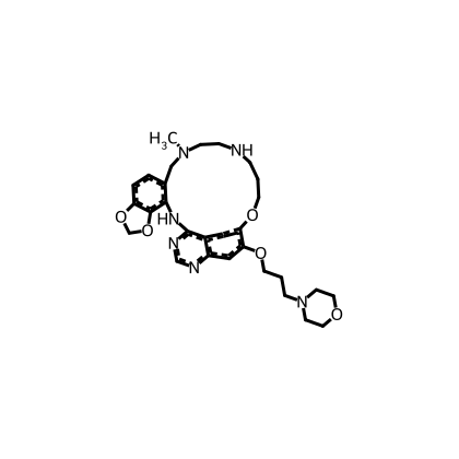 CN1CCNCCCOc2cc3c(ncnc3cc2OCCCN2CCOCC2)Nc2c(ccc3c2OCO3)C1